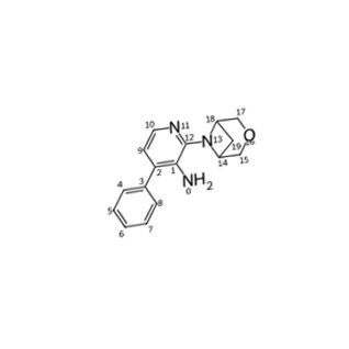 Nc1c(-c2ccccc2)ccnc1N1C2COCC1C2